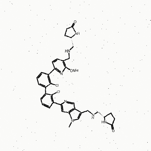 COc1nc(-c2cccc(-c3cccc(-c4cc5c(cn4)c(CNC[C@@H]4CCC(=O)N4)cn5C)c3Cl)c2Cl)ccc1CNC[C@@H]1CCC(=O)N1